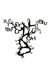 CC(C)(C)OC(=O)N1C[C@H](O[Si](C)(C)C(C)(C)C)C(c2ccc3ccccc3c2)[C@]1(C)O